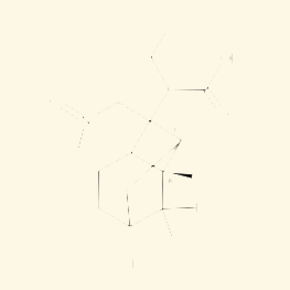 CCC(C(=O)O)C1(C[N+](=O)[O-])C2CC[C@H]3C[C@@H]1[C@@H]2C3(F)F